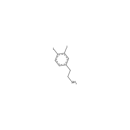 [SiH3]CCc1ccc(I)c(I)c1